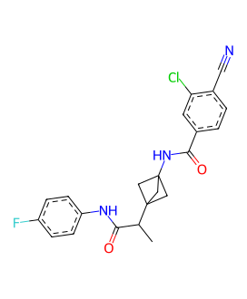 CC(C(=O)Nc1ccc(F)cc1)C12CC(NC(=O)c3ccc(C#N)c(Cl)c3)(C1)C2